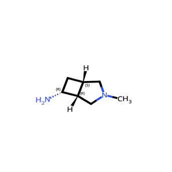 CN1C[C@H]2C[C@@H](N)[C@H]2C1